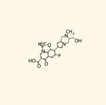 COc1c(-c2cc3n(c2)CC(CO)N(C)C3)c(F)cc2c(=O)c(C(=O)O)cn(C3CC3)c12